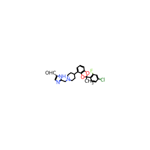 CC1(c2ccc(Cl)cc2F)Oc2cccc(C3CCN(Cc4ncc(C=O)[nH]4)CC3)c2O1